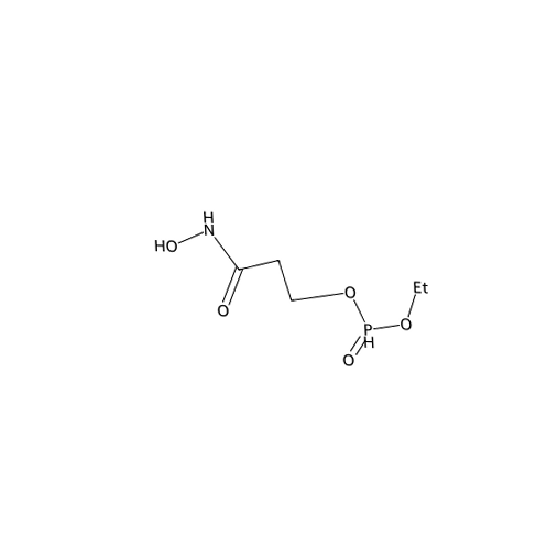 CCO[PH](=O)OCCC(=O)NO